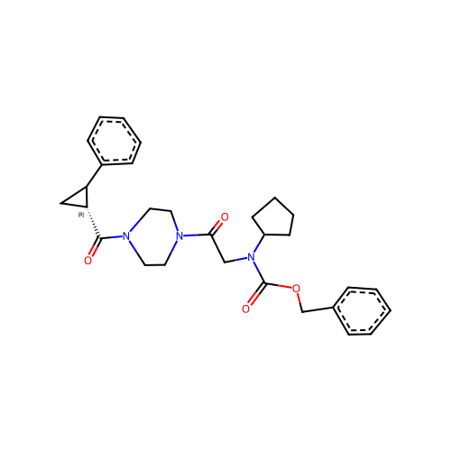 O=C(CN(C(=O)OCc1ccccc1)C1CCCC1)N1CCN(C(=O)[C@@H]2CC2c2ccccc2)CC1